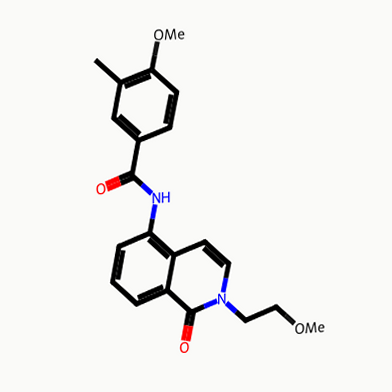 COCCn1ccc2c(NC(=O)c3ccc(OC)c(C)c3)cccc2c1=O